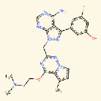 Cc1ccn2nc(Cn3nc(-c4cc(O)cc(F)c4)c4c(N)ncnc43)nc(OCCN(C)C)c12